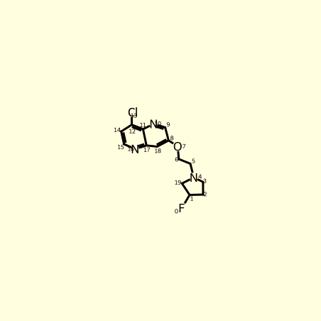 FC1CCN(CCOc2cnc3c(Cl)ccnc3c2)C1